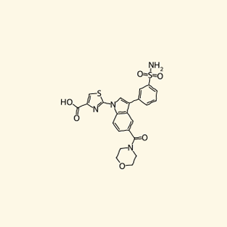 NS(=O)(=O)c1cccc(-c2cn(-c3nc(C(=O)O)cs3)c3ccc(C(=O)N4CCOCC4)cc23)c1